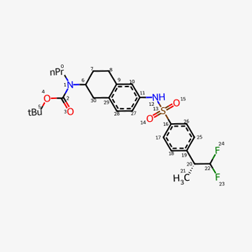 CCCN(C(=O)OC(C)(C)C)C1CCc2cc(NS(=O)(=O)c3ccc([C@@H](C)C(F)F)cc3)ccc2C1